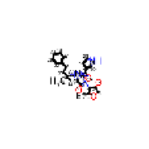 CCC1OCC(=O)C1NC(=O)[C@H](CC(C)(C)CCc1ccccc1)NC(=O)c1cc[nH]c1